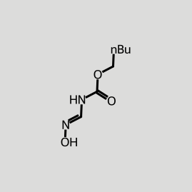 CCCCCOC(=O)NC=NO